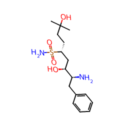 CC(C)(O)CC[C@H](C[C@H](O)[C@@H](N)Cc1ccccc1)S(N)(=O)=O